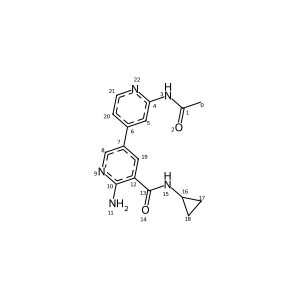 CC(=O)Nc1cc(-c2cnc(N)c(C(=O)NC3CC3)c2)ccn1